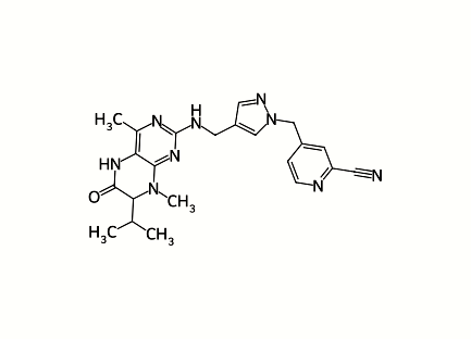 Cc1nc(NCc2cnn(Cc3ccnc(C#N)c3)c2)nc2c1NC(=O)C(C(C)C)N2C